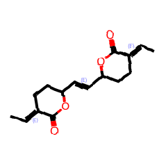 C/C=C1\CCC(/C=C/C2CC/C(=C\C)C(=O)O2)OC1=O